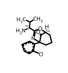 CC(C)[C@H](N)C1=NC2(c3ccccc3Cl)CCC[C@H](O1)C2=O